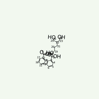 O=C(O)c1ccccc1.O=C(O)c1ccccc1.OCCCC(CO)CO